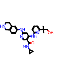 CC(C)(CO)c1cccc(Nc2cc(Nc3ccc4c(c3)CCNC4)ncc2C(=O)NC2CC2)n1